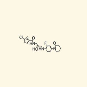 O=C(NC[C@@H](O)CNc1ccc(N2CCCCC2=O)cc1F)c1ccc(Cl)s1